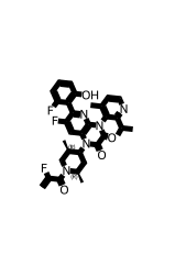 C=C(F)C(=O)N1C[C@@H](C)C(n2c(=O)c(=O)n(-c3c(C)ccnc3C(C)C)c3nc(-c4c(O)cccc4F)c(F)cc32)C[C@H]1C